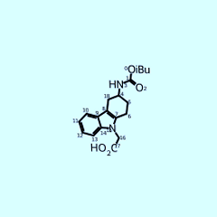 CC(C)COC(=O)NC1CCc2c(c3ccccc3n2CC(=O)O)C1